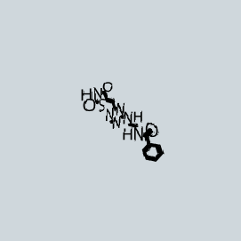 O=C1NC(=O)/C(=C/c2ncnc(NCCNC(=O)c3ccccc3)n2)S1